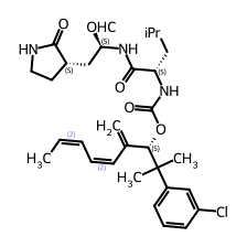 C=C(/C=C\C=C/C)[C@H](OC(=O)N[C@@H](CC(C)C)C(=O)N[C@H](C=O)C[C@@H]1CCNC1=O)C(C)(C)c1cccc(Cl)c1